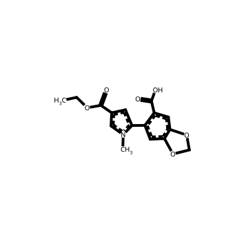 CCOC(=O)c1cc(-c2cc3c(cc2C(=O)O)OCO3)n(C)c1